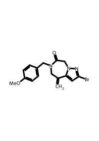 C=C1CN(Cc2ccc(OC)cc2)C(=O)Cn2nc(Br)cc21